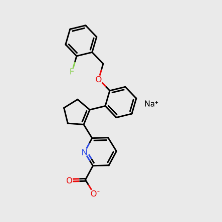 O=C([O-])c1cccc(C2=C(c3ccccc3OCc3ccccc3F)CCC2)n1.[Na+]